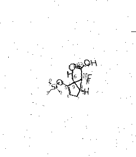 C[Si](C)(C)OC1=CC[C@@H]2[C@H]1[C@@]2(F)C(=O)O